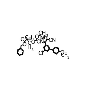 CC(OC(=O)OCC(C)(C)C(=O)OCc1ccccc1)n1nc(C#N)c(-c2cc(Cl)cc(-c3ccc(OC(F)(F)F)cc3)c2)n1